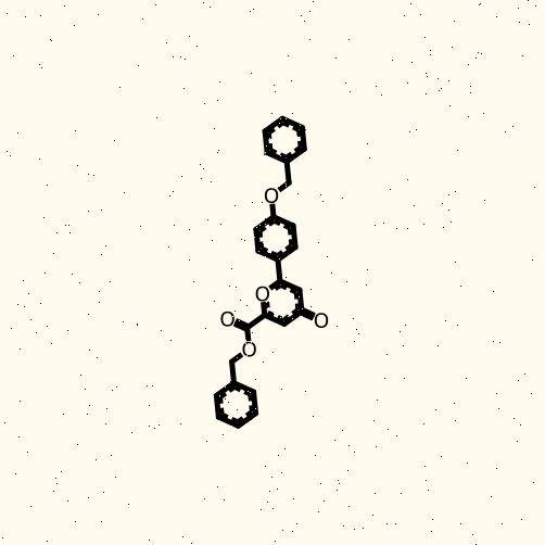 O=C(OCc1ccccc1)c1cc(=O)cc(-c2ccc(OCc3ccccc3)cc2)o1